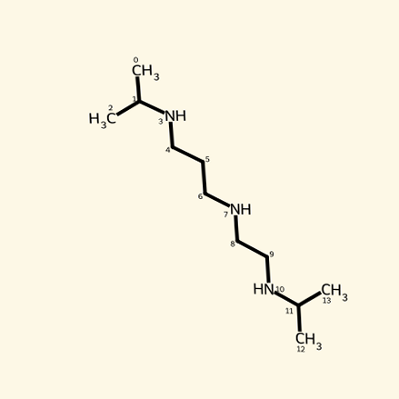 CC(C)NCCCNCCNC(C)C